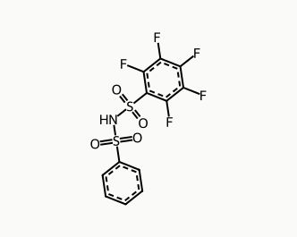 O=S(=O)(NS(=O)(=O)c1c(F)c(F)c(F)c(F)c1F)c1ccccc1